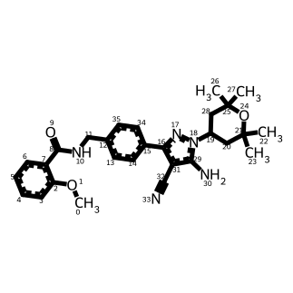 COc1ccccc1C(=O)NCc1ccc(-c2nn(C3CC(C)(C)OC(C)(C)C3)c(N)c2C#N)cc1